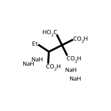 CCC(C(=O)O)C(C(=O)O)(C(=O)O)C(=O)O.[NaH].[NaH].[NaH].[NaH]